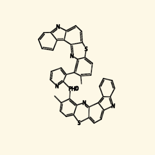 Cc1ccc2sc3ccc4nc5ccccc5c4c3nc2c1-c1cccnc1[PH](=O)c1c(C)ccc2sc3ccc4nc5ccccc5c4c3nc12